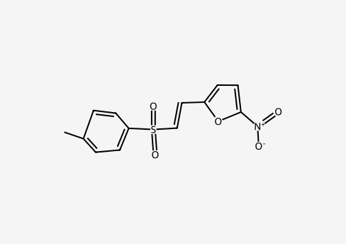 Cc1ccc(S(=O)(=O)/C=C/c2ccc([N+](=O)[O-])o2)cc1